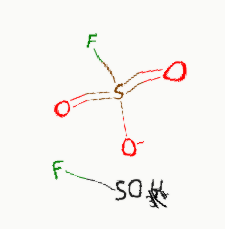 O=S(=O)(O)F.O=S(=O)([O-])F.[K+]